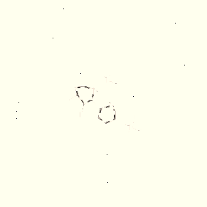 F[B-](F)(F)F.F[B-](F)(F)F.Fc1ccnc(-c2ccccn2)c1F